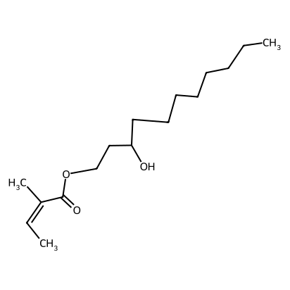 CC=C(C)C(=O)OCCC(O)CCCCCCCC